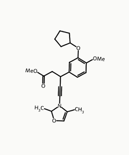 COC(=O)CC(C#CN1C(C)=COC1C)c1ccc(OC)c(OC2CCCC2)c1